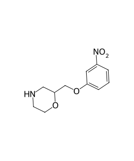 O=[N+]([O-])c1cccc(OCC2CNCCO2)c1